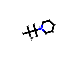 CC(C)C(C)(C)C(C)(C)N1CCCCC1